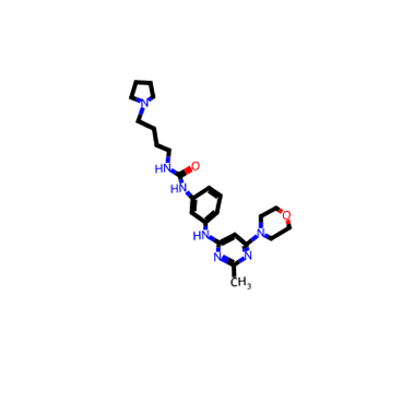 Cc1nc(Nc2cccc(NC(=O)NCCCCN3CCCC3)c2)cc(N2CCOCC2)n1